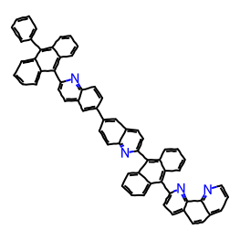 c1ccc(-c2c3ccccc3c(-c3ccc4cc(-c5ccc6nc(-c7c8ccccc8c(-c8ccc9ccc%10cccnc%10c9n8)c8ccccc78)ccc6c5)ccc4n3)c3ccccc23)cc1